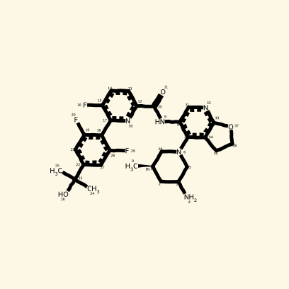 C[C@@H]1CC(N)CN(c2c(NC(=O)c3ccc(F)c(-c4c(F)cc(C(C)(C)O)cc4F)n3)cnc3c2CCO3)C1